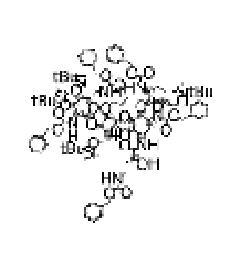 C=CCO[C@H]1[C@H](O[C@@H]2[C@@H](O)[C@H](NC(=O)[C@@H](O)CCNC(=O)OCc3ccccc3)C[C@H](NC(=O)OCc3ccccc3)[C@H]2O[C@H]2O[C@H](CO[Si](C)(C)C(C)(C)C)CC[C@H]2NC(=O)OCc2ccccc2)O[C@H](CO[Si](C)(C)C(C)(C)C)[C@H]1O[C@H]1O[C@@H](CNC(=O)OCc2ccccc2)[C@@H](O[Si](C)(C)C(C)(C)C)[C@H](O[Si](C)(C)C(C)(C)C)[C@H]1NC(=O)OCc1ccccc1